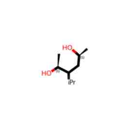 CC(C)C(C[C@H](C)O)[C@H](C)O